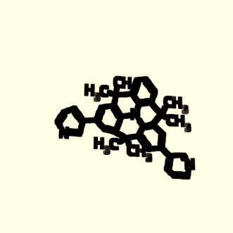 CC1(C)c2cccc3c2N2c4c1cc(-c1cccnc1)cc4C(C)(C)c1cc(-c4cccnc4)cc(c12)C3(C)C